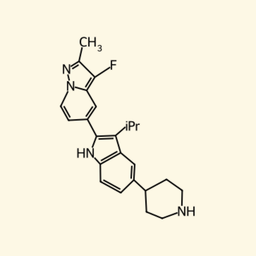 Cc1nn2ccc(-c3[nH]c4ccc(C5CCNCC5)cc4c3C(C)C)cc2c1F